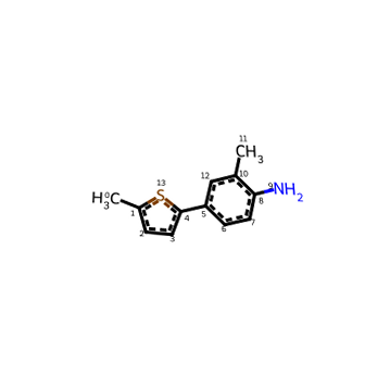 Cc1ccc(-c2ccc(N)c(C)c2)s1